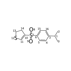 CC(C)c1ccc(S(=O)(=O)C2=CSCC2)cc1